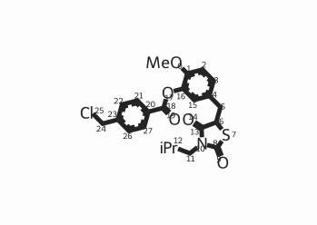 COc1ccc(CC2SC(=O)N(CC(C)C)C2=O)cc1OC(=O)c1ccc(CCl)cc1